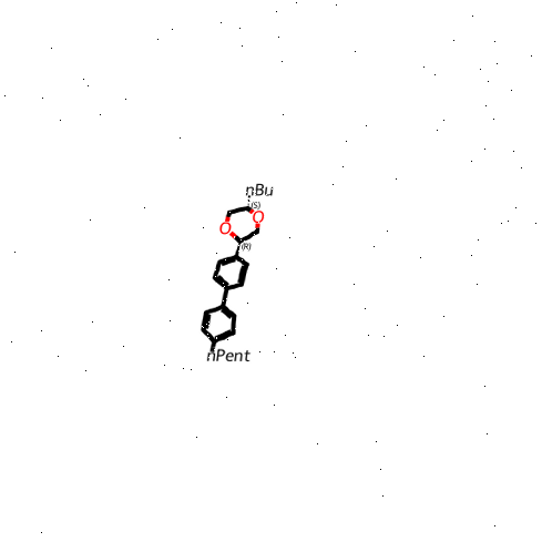 CCCCCc1ccc(-c2ccc([C@@H]3CO[C@@H](CCCC)CO3)cc2)cc1